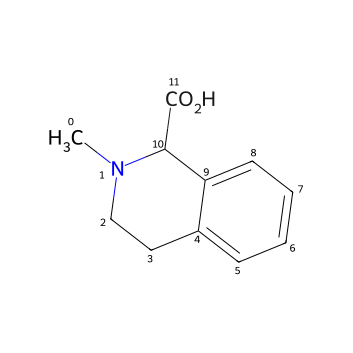 CN1CCc2ccccc2C1C(=O)O